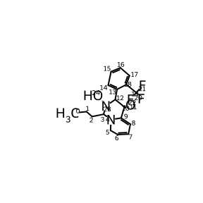 CCCC1N2CC=CC=C2C(=O)C(c2ccccc2C(F)(F)F)N1O